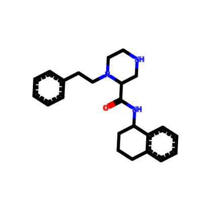 O=C(NC1CCCc2ccccc21)C1CNCCN1CCc1ccccc1